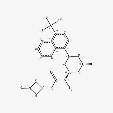 C[C@H]1C[C@@H](N(I)C(=O)CC2CN(C)C2)CN(c2ccc(C(C)(F)F)c3ncccc23)C1